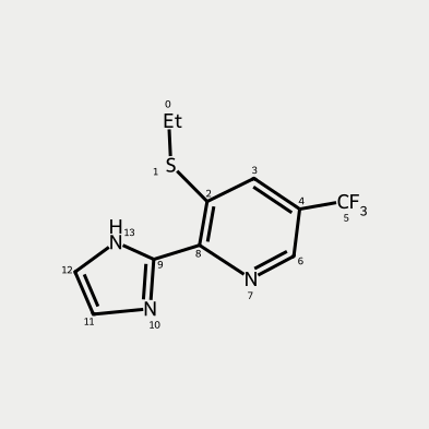 CCSc1cc(C(F)(F)F)cnc1-c1ncc[nH]1